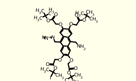 CC(C)(C)OC(=O)COc1cc2c(CN)c3cc(OCC(=O)OC(C)(C)C)c(OCC(=O)OC(C)(C)I)cc3c(CN=[N+]=[N-])c2cc1OCC(=O)OC(C)(C)C